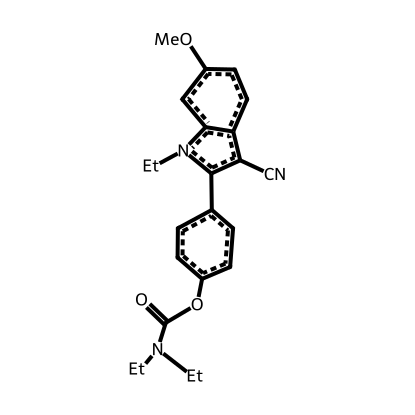 CCN(CC)C(=O)Oc1ccc(-c2c(C#N)c3ccc(OC)cc3n2CC)cc1